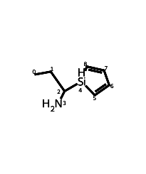 CCC(N)[SiH]1C=CC=C1